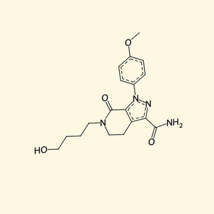 COc1ccc(-n2nc(C(N)=O)c3c2C(=O)N(CCCCO)CC3)cc1